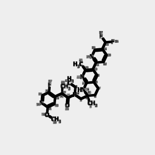 CCN(C[C@@]1(C)CCc2cc(-c3ccc(C(F)F)cn3)c(C)nc2N1)C(=O)[C@H](C)c1cc(OC)ncc1F